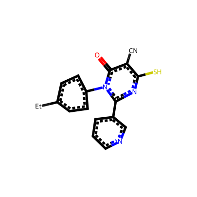 CCc1ccc(-n2c(-c3cccnc3)nc(S)c(C#N)c2=O)cc1